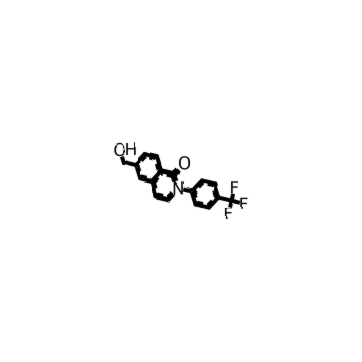 O=c1c2ccc(CO)cc2ccn1-c1ccc(C(F)(F)F)cc1